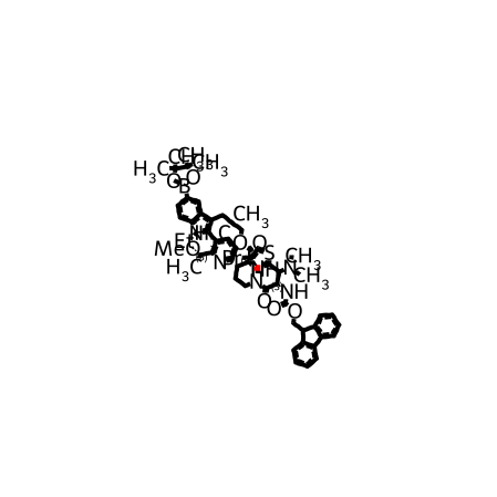 CCn1c(-c2cccnc2[C@H](C)OC)c(CC(C)(C)COC(=O)[C@@H]2CCCN(C(=O)[C@@H](NC(=O)OCC3c4ccccc4-c4ccccc43)C(c3nc(Br)cs3)N(C)C)N2)c2cc(B3OC(C)(C)C(C)(C)O3)ccc21